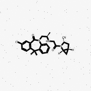 C[C@H](CN1C(=O)c2cc(Cl)ccc2C(C)(C)c2ccccc21)NCC(=O)N1[C@H](C#N)C[C@@H]2C[C@@H]21